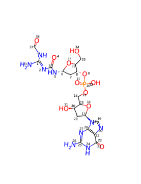 N/C(=N/C(=O)N[C@H]1C[C@@H](OP(=O)(O)OCC2O[C@@H](n3cnc4c(=O)[nH]c(N)nc43)C[C@H]2O)C(CO)O1)NC=O